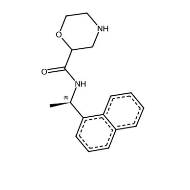 C[C@@H](NC(=O)C1CNCCO1)c1cccc2ccccc12